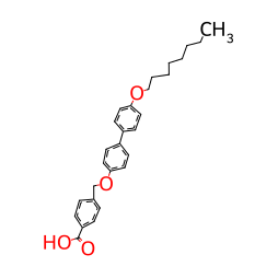 CCCCCCCCOc1ccc(-c2ccc(OCc3ccc(C(=O)O)cc3)cc2)cc1